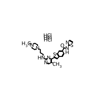 Cc1cnc(NCCCN2CCN(C)CC2)nc1-c1cc2ccc(C(=O)Nc3nccs3)cc2s1.Cl.Cl.Cl